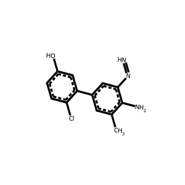 Cc1cc(-c2cc(O)ccc2Cl)cc(N=N)c1N